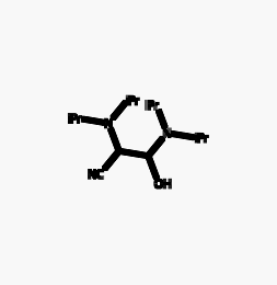 CC(C)N(C(C)C)C(O)C(C#N)N(C(C)C)C(C)C